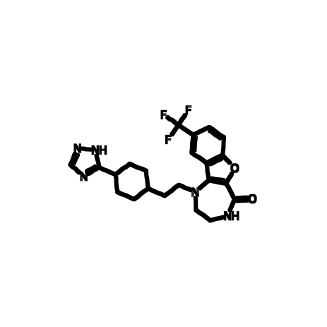 O=C1NCCN(CCC2CCC(c3ncn[nH]3)CC2)c2c1oc1ccc(C(F)(F)F)cc21